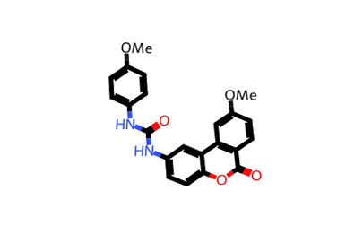 COc1ccc(NC(=O)Nc2ccc3oc(=O)c4ccc(OC)cc4c3c2)cc1